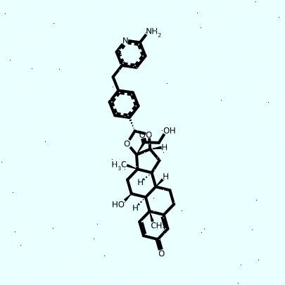 C[C@]12C=CC(=O)C=C1CC[C@@H]1[C@@H]2[C@@H](O)C[C@@]2(C)[C@H]1C[C@H]1O[C@@H](c3ccc(Cc4ccc(N)nc4)cc3)O[C@]12C(=O)CO